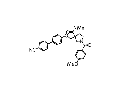 CNC(=O)C1(COc2ccc(-c3ccc(C#N)cc3)cc2)CCN(C(=O)c2ccc(OC)cc2)C1